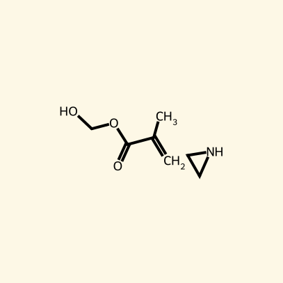 C1CN1.C=C(C)C(=O)OCO